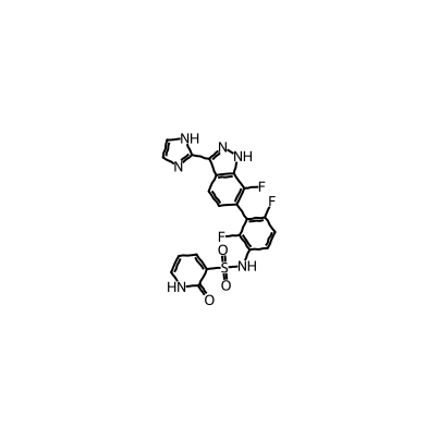 O=c1[nH]cccc1S(=O)(=O)Nc1ccc(F)c(-c2ccc3c(-c4ncc[nH]4)n[nH]c3c2F)c1F